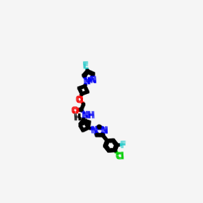 O=C(COC1CC(n2cc(F)cn2)C1)N[C@H]1CC2(n3cnc(-c4ccc(Cl)c(F)c4)c3)CC1C2